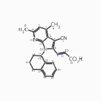 Cc1cc(C)c2c(C#N)c(/C=C/C(=O)O)n([C@@H]3CCCc4ccccc43)c2n1